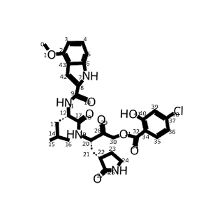 COc1cccc2[nH]c(C(=O)N[C@@H](CC(C)C)C(=O)N[C@@H](C[C@@H]3CCNC3=O)C(=O)COC(=O)c3ccc(Cl)cc3O)cc12